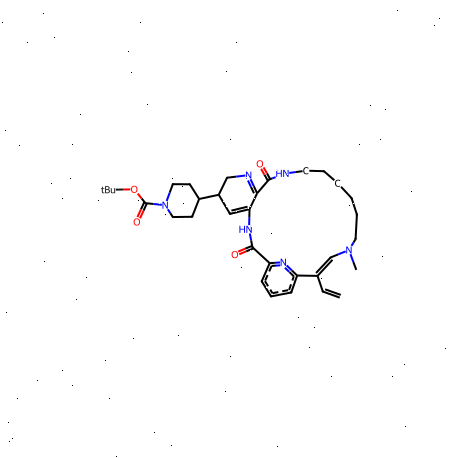 C=C/C1=C\N(C)CCCCCCNC(=O)C2=NCC(C3CCN(C(=O)OC(C)(C)C)CC3)C=C2NC(=O)c2cccc1n2